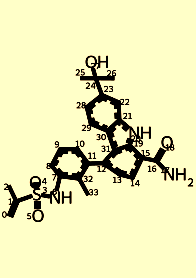 C=C(C)S(=O)(=O)Nc1cccc(-c2ccc(C(N)=O)c3[nH]c4cc(C(C)(C)O)ccc4c23)c1C